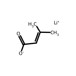 CC(C)=CC(=O)[O-].[Li+]